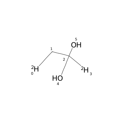 [2H]CC([2H])(O)O